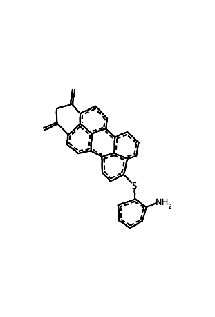 C=C1CC(=C)c2ccc3c4ccc(Sc5ccccc5N)c5cccc(c6ccc1c2c63)c54